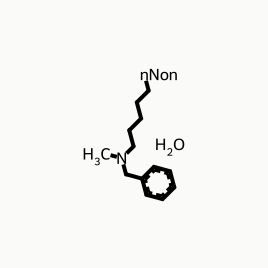 CCCCCCCCCCCCCCN(C)Cc1ccccc1.O